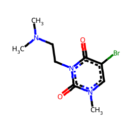 CN(C)CCn1c(=O)c(Br)cn(C)c1=O